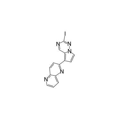 Ic1ncc2c(-c3ccc4ncccc4n3)ccn2n1